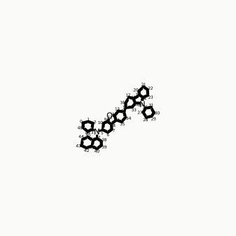 c1ccc(N(c2ccc3c(c2)oc2cc(-c4ccc5c6ccccc6n(-c6ccccc6)c5c4)ccc23)c2cccc3ccccc23)cc1